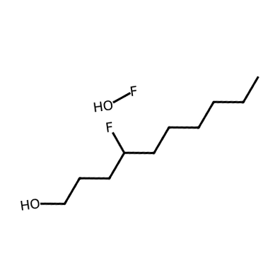 CCCCCCC(F)CCCO.OF